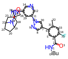 CCC(C)NC(=O)c1cc(-c2cnn(-c3cncc(NC4CC5CCC(C4)N5C4COC4)c3)c2)c(C)cc1F